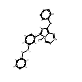 Cl[N+]12C=CN=CC1=C(Cc1ccccc1)N=C2c1cccc(OCc2ccccc2)c1